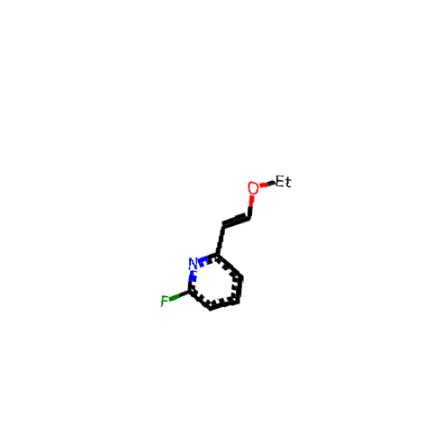 CCOC=Cc1cccc(F)n1